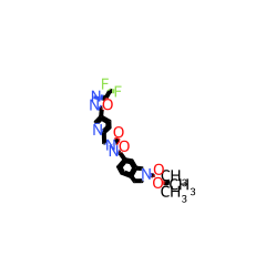 CC(C)(C)OC(=O)N1CCc2ccc(-c3nn(Cc4ccc(-c5nnc(C(F)F)o5)cn4)c(=O)o3)cc2C1